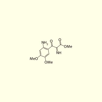 COC(=O)C(=N)C(=O)c1cc(OC)c(OC)cc1N